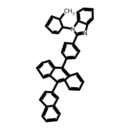 CC1C=CC=CC1n1c(-c2ccc(-c3c4ccccc4c(-c4ccc5ccccc5c4)c4ccccc34)cc2)nc2ccccc21